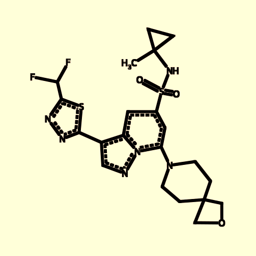 CC1(NS(=O)(=O)c2cc(N3CCC4(CC3)COC4)n3ncc(-c4nnc(C(F)F)s4)c3c2)CC1